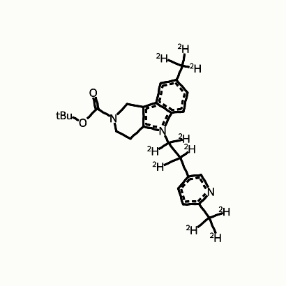 [2H]C([2H])([2H])c1ccc2c(c1)c1c(n2C([2H])([2H])C([2H])([2H])c2ccc(C([2H])([2H])[2H])nc2)CCN(C(=O)OC(C)(C)C)C1